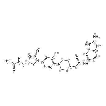 CC(=O)NC[C@H]1CN(c2ccc(N3CCN(CC(=O)Nc4ccc5nc(N)[nH]c5c4)CC3)c(F)c2)C(=O)O1